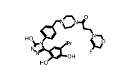 CC(C)c1cc(-c2nnc(O)n2-c2ccc(CN3CCN(C(=O)CCN4C=C(F)COC4)CC3)cc2)c(O)cc1O